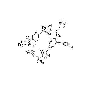 CCC(Oc1ccc(-c2noc(C(C)C)n2)cc1C)c1nc(-c2ccc(S(C)(=O)=O)c(F)c2)no1